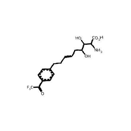 NC(C(=O)O)C(O)C(O)C/C=C/CCc1ccc(C(=O)C(F)(F)F)cc1